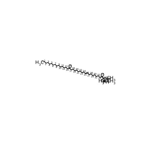 CCCCCCCCCCCCCCCC(=O)CCCCCCCCC=CCCCCCCCC(=O)C(C[N+](C)(C)C)O[PH-]